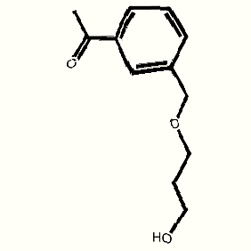 CC(=O)c1cccc(COCCCO)c1